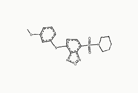 COc1cccc(Sc2ccc(S(=O)(=O)N3CCCCC3)c3nonc23)c1